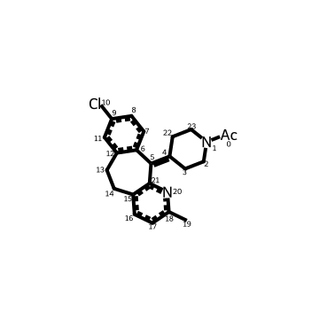 CC(=O)N1CCC(=C2c3ccc(Cl)cc3CCc3ccc(C)nc32)CC1